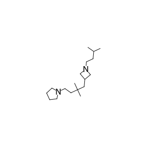 CC(C)CCN1CC(CC(C)(C)CCN2CCCC2)C1